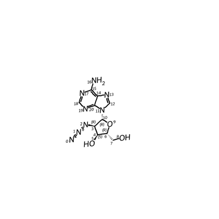 [N-]=[N+]=N[C@@H]1[C@H](O)[C@@H](CO)O[C@H]1n1cnc2c(N)ncnc21